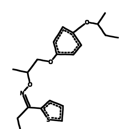 CCC(=NOC(C)COc1ccc(OC(C)CC)cc1)c1cccs1